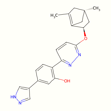 CC1=C2C[C@@](C)(C1)C[C@H]2Oc1ccc(-c2ccc(-c3cn[nH]c3)cc2O)nn1